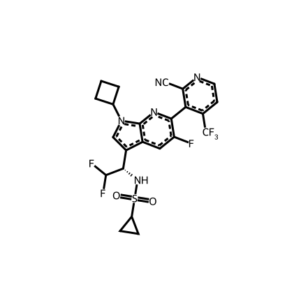 N#Cc1nccc(C(F)(F)F)c1-c1nc2c(cc1F)c([C@H](NS(=O)(=O)C1CC1)C(F)F)cn2C1CCC1